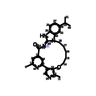 Cc1cc2cc(n1)-c1cnn(C)c1OCCCCCN1/C(=N/C2=O)Nc2ccc(C(C)C)cc21